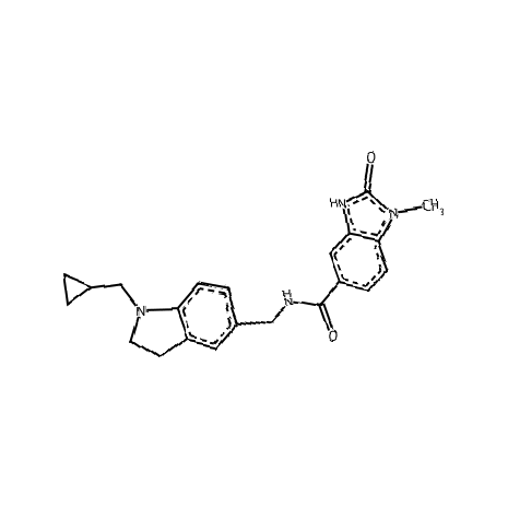 Cn1c(=O)[nH]c2cc(C(=O)NCc3ccc4c(c3)CCN4CC3CC3)ccc21